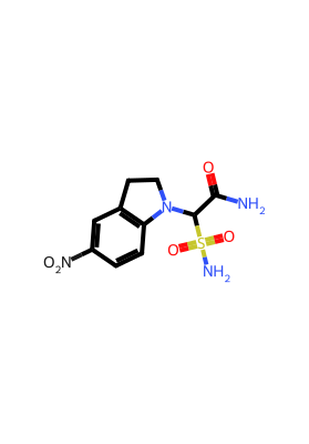 NC(=O)C(N1CCc2cc([N+](=O)[O-])ccc21)S(N)(=O)=O